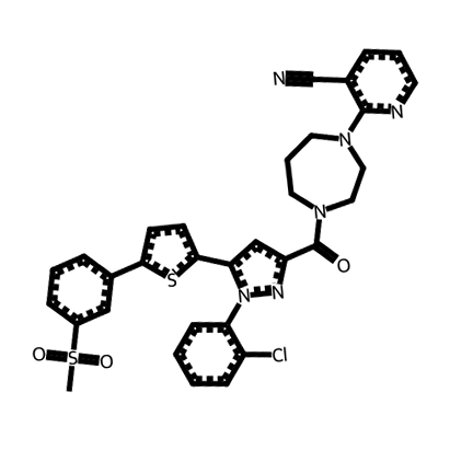 CS(=O)(=O)c1cccc(-c2ccc(-c3cc(C(=O)N4CCCN(c5ncccc5C#N)CC4)nn3-c3ccccc3Cl)s2)c1